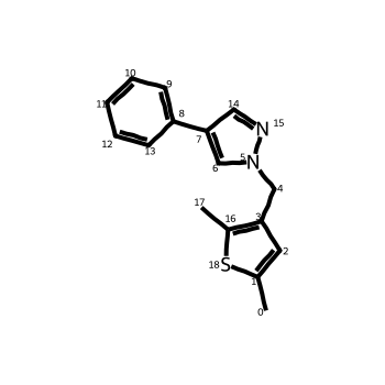 Cc1cc(Cn2cc(-c3ccccc3)cn2)c(C)s1